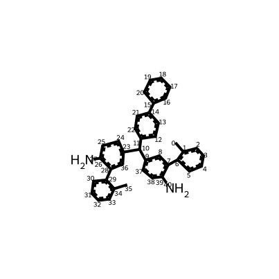 Cc1ccccc1-c1cc(C(c2ccc(-c3ccccc3)cc2)c2ccc(N)c(-c3ccccc3C)c2)ccc1N